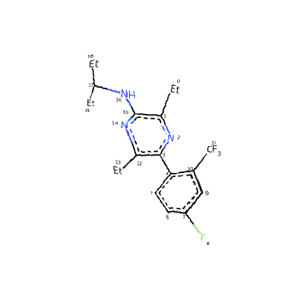 CCc1nc(-c2ccc(F)cc2C(F)(F)F)c(CC)nc1NC(CC)CC